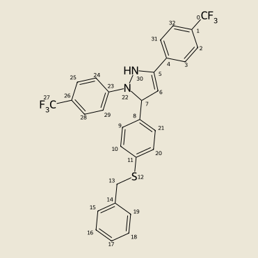 FC(F)(F)c1ccc(C2=CC(c3ccc(SCc4ccccc4)cc3)N(c3ccc(C(F)(F)F)cc3)N2)cc1